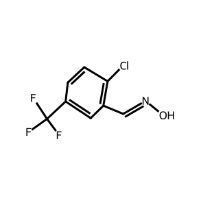 O/N=C/c1cc(C(F)(F)F)ccc1Cl